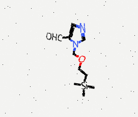 C[Si](C)(C)CCOCn1cncc1C=O